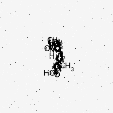 CCN1C(=O)Nc2cc(CN3CCN(c4ccc(C(=O)O)nc4C)CC3)cc3ncnc1c23